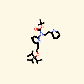 CC(C)[Si](OCCc1cccc(N(CCc2ccccn2)C(=O)OC(C)(C)C)n1)(C(C)C)C(C)C